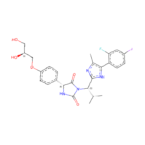 Cc1nc([C@H](C(C)C)N2C(=O)N[C@H](c3ccc(OC[C@@H](O)CO)cc3)C2=O)[nH]c1-c1ccc(I)cc1F